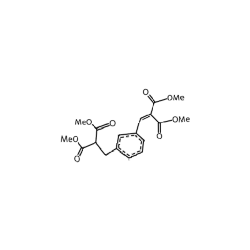 COC(=O)C(=Cc1cc[c]c(CC(C(=O)OC)C(=O)OC)c1)C(=O)OC